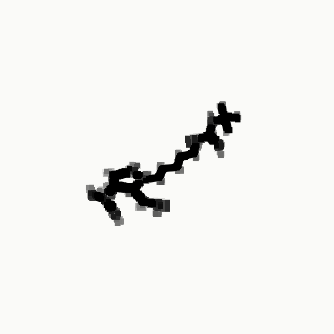 CC(C)(C)OC(=O)NCCCCCn1ncc([N+](=O)[O-])c1CO